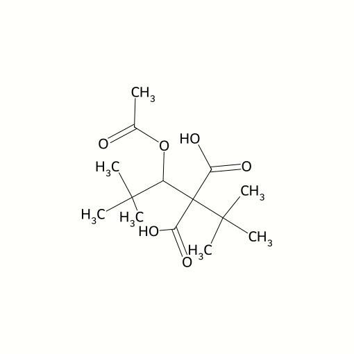 CC(=O)OC(C(C)(C)C)C(C(=O)O)(C(=O)O)C(C)(C)C